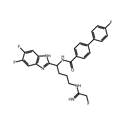 N=C(CF)NCCCC(NC(=O)c1ccc(-c2ccc(F)cc2)cc1)c1nc2cc(F)c(F)cc2[nH]1